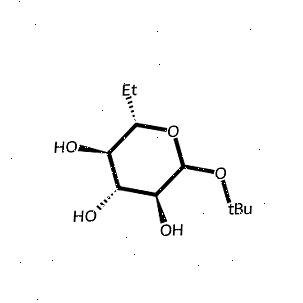 CC[C@@H]1OC(OC(C)(C)C)[C@@H](O)[C@H](O)[C@H]1O